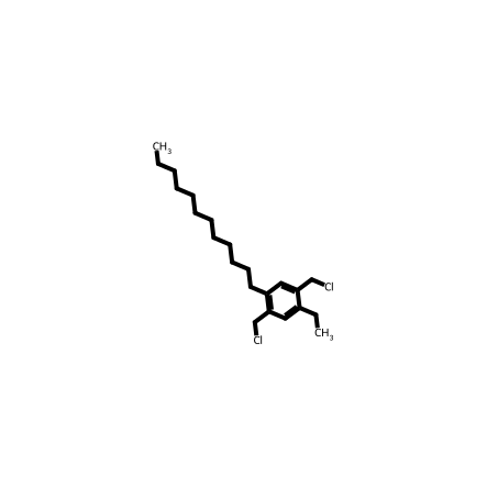 CCCCCCCCCCCCc1cc(CCl)c(CC)cc1CCl